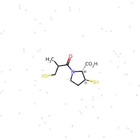 CC(CS)C(=O)N1CC[C@H](S)[C@H]1C(=O)O